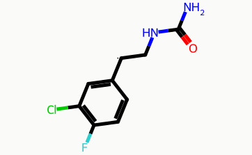 NC(=O)NC[CH]c1ccc(F)c(Cl)c1